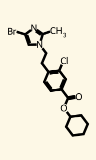 Cc1nc(Br)cn1CCc1ccc(C(=O)OC2CCCCC2)cc1Cl